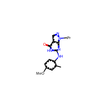 COc1ccc(Nc2nc3c(cnn3C(C)C)c(=O)[nH]2)c(C)c1